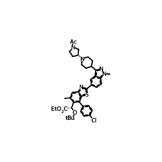 CCOC(=O)[C@@H](OC(C)(C)C)c1c(C)cc2nc(-c3ccc4c(c3)c(C3CCN([C@@H]5CCN(C(C)=O)C5)CC3)nn4C)sc2c1-c1ccc(Cl)cc1